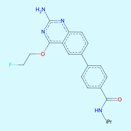 CC(C)NC(=O)c1ccc(-c2ccc3nc(N)nc(OCCF)c3c2)cc1